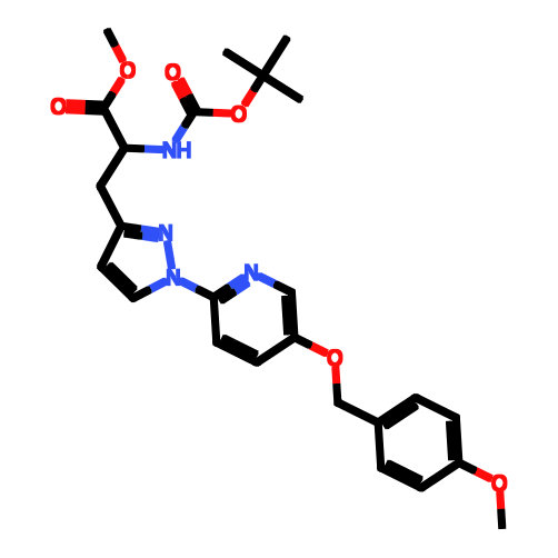 COC(=O)C(Cc1ccn(-c2ccc(OCc3ccc(OC)cc3)cn2)n1)NC(=O)OC(C)(C)C